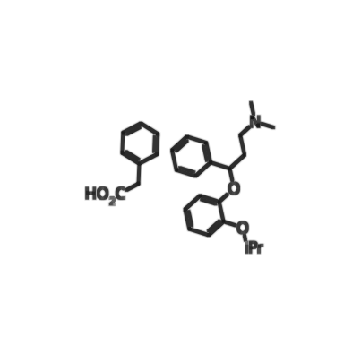 CC(C)Oc1ccccc1OC(CCN(C)C)c1ccccc1.O=C(O)Cc1ccccc1